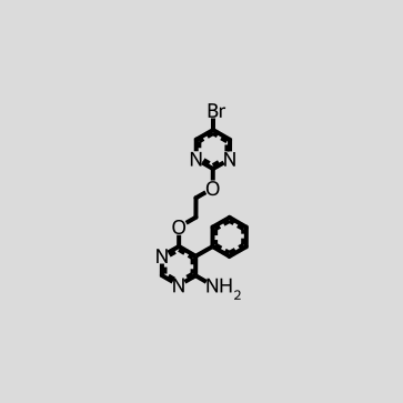 Nc1ncnc(OCCOc2ncc(Br)cn2)c1-c1ccccc1